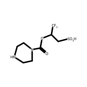 O=C(OC(CS(=O)(=O)O)C(F)(F)F)N1CCNCC1